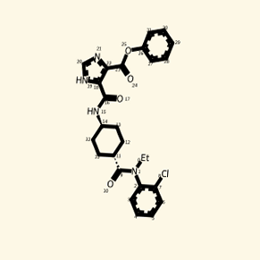 CCN(c1ccccc1Cl)C(=O)[C@H]1CC[C@H](NC(=O)c2[nH]cnc2C(=O)Oc2ccccc2)CC1